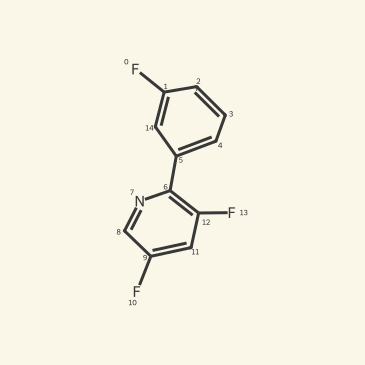 Fc1[c]ccc(-c2ncc(F)cc2F)c1